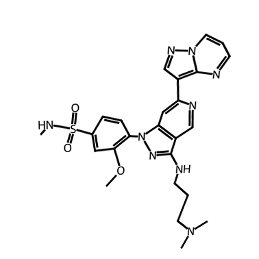 CNS(=O)(=O)c1ccc(-n2nc(NCCCN(C)C)c3cnc(-c4cnn5cccnc45)cc32)c(OC)c1